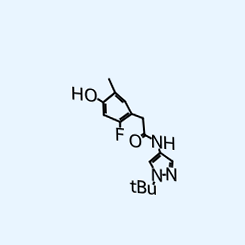 Cc1cc(CC(=O)Nc2cnn(C(C)(C)C)c2)c(F)cc1O